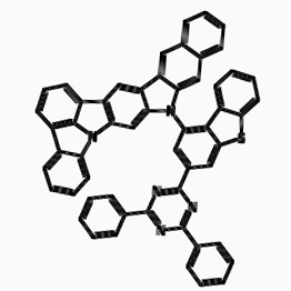 c1ccc(-c2nc(-c3ccccc3)nc(-c3cc(-n4c5cc6ccccc6cc5c5cc6c7cccc8c9ccccc9n(c6cc54)c87)c4c(c3)sc3ccccc34)n2)cc1